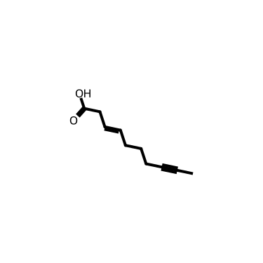 CC#CCCCC=CCC(=O)O